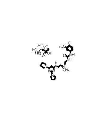 CN(CCNC(=O)Nc1ccc(Cl)c(C(F)(F)F)c1)CCNc1cc(N2CCCC2)nc(N2CCCC2)n1.O=C(O)CC(O)(CC(=O)O)C(=O)O